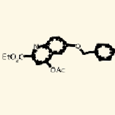 CCOC(=O)c1cc(OC(C)=O)c2cc(OCc3ccccc3)ccc2n1